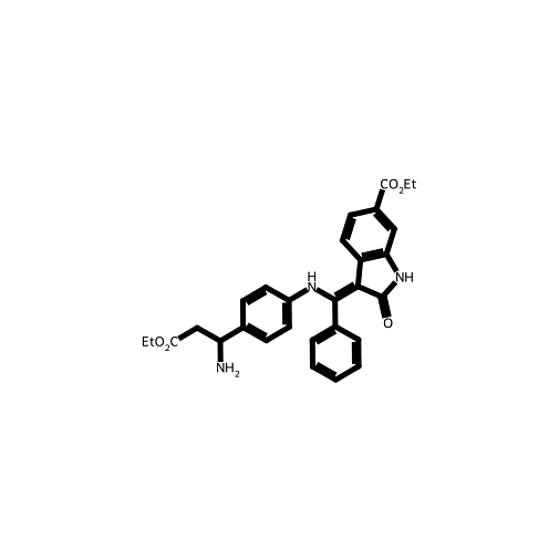 CCOC(=O)CC(N)c1ccc(NC(=C2C(=O)Nc3cc(C(=O)OCC)ccc32)c2ccccc2)cc1